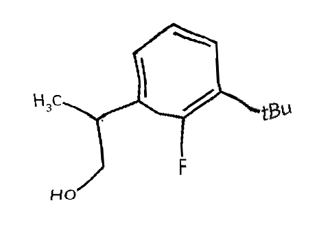 C[C](CO)c1cccc(C(C)(C)C)c1F